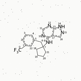 FC(F)(F)c1cccc(CC2(Nc3ncnc4[nH]ncc34)CCCC2)c1